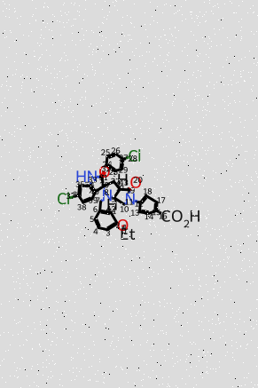 CCOc1cccc(CN2[C@@H]3CN(c4ccc(C(=O)O)cc4)C(=O)[C@@H]3[C@@H](c3cccc(Cl)c3)[C@@]23C(=O)Nc2cc(Cl)ccc23)c1